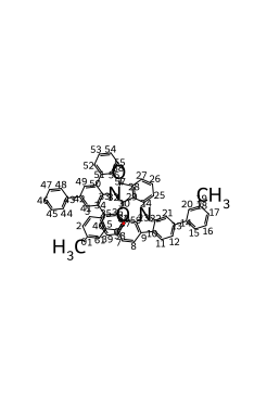 Cc1cccc(-c2ccc3c4ccc(-c5cccc(C)c5)cc4n(-c4cccc5c4C(=O)N(c4c(-c6ccccc6)cc(-c6ccccc6)cc4-c4ccccc4)C5=O)c3c2)c1